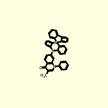 Cc1cn(-c2ccccc2)c2cc(N3c4ccccc4[Si]4(c5ccccc5-c5ccccc54)c4ccccc43)ccc2c1=O